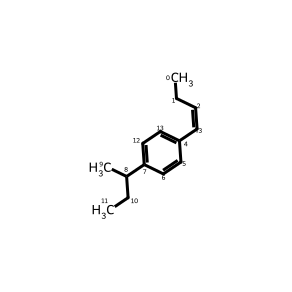 CC/C=[C]\c1ccc(C(C)CC)cc1